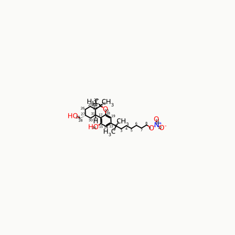 CC(C)(CCCCCCO[N+](=O)[O-])c1cc(O)c2c(c1)OC(C)(C)[C@@H]1CC[C@@H](CO)C[C@@H]21